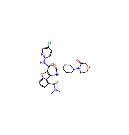 CN(C)C(=O)c1cccc2oc(C(=O)Nc3ccc(Cl)cn3)c(NC(=O)[C@H]3CC[C@H](N4CCOCC4=O)CC3)c12